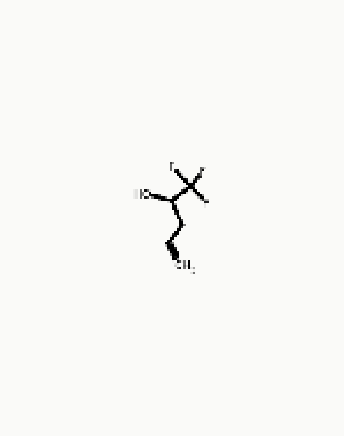 C=CCC(O)C(F)(F)F